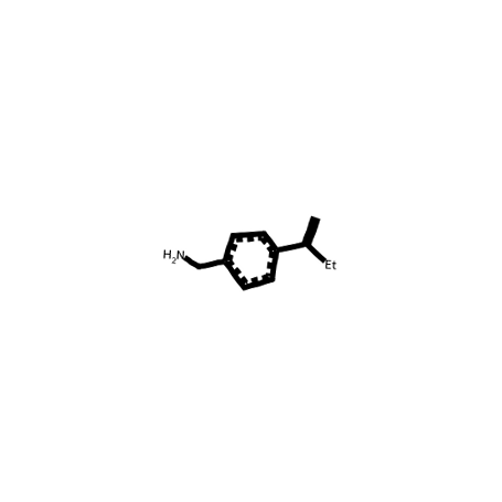 C=C(CC)c1ccc(CN)cc1